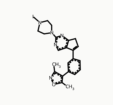 Cc1noc(C)c1-c1cccc(C2=CCc3nc(N4CCN(I)CC4)ncc32)c1